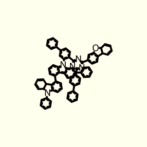 C1=CC2Oc3cc(-c4nc(-c5ccc(-c6ccccc6)cc5)nc(-c5ccc(-c6ccccc6)cc5-n5c6cc(-c7ccccc7)ccc6c6c(-c7cccc8c7C7C=CC=CC7N8c7ccccc7)cccc65)n4)ccc3C2C=C1